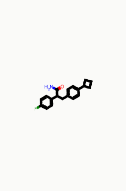 NC(=O)C(Cc1ccc(C2CCC2)cc1)c1ccc(F)cc1